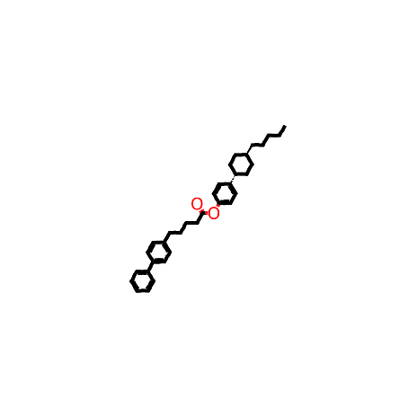 CCCCC[C@H]1CC[C@H](c2ccc(OC(=O)CCCCc3ccc(-c4ccccc4)cc3)cc2)CC1